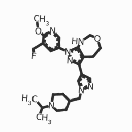 COc1ncc(-n2nc(-c3cnn(CC4CCN(C(C)C)CC4)c3)c3c2NCOCC3)cc1CF